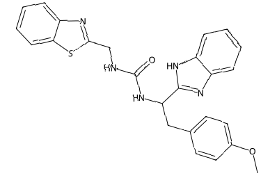 COc1ccc(CC(NC(=O)NCc2nc3ccccc3s2)c2nc3ccccc3[nH]2)cc1